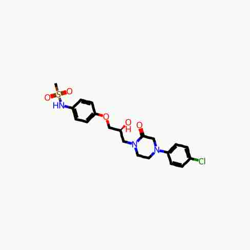 CS(=O)(=O)Nc1ccc(OC[C@@H](O)CN2CCN(c3ccc(Cl)cc3)CC2=O)cc1